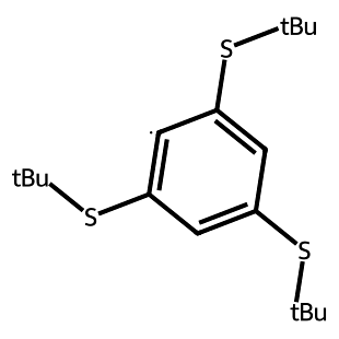 CC(C)(C)Sc1[c]c(SC(C)(C)C)cc(SC(C)(C)C)c1